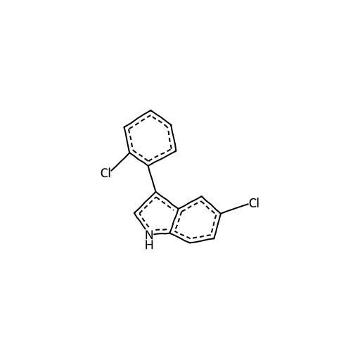 Clc1ccc2[nH]cc(-c3ccccc3Cl)c2c1